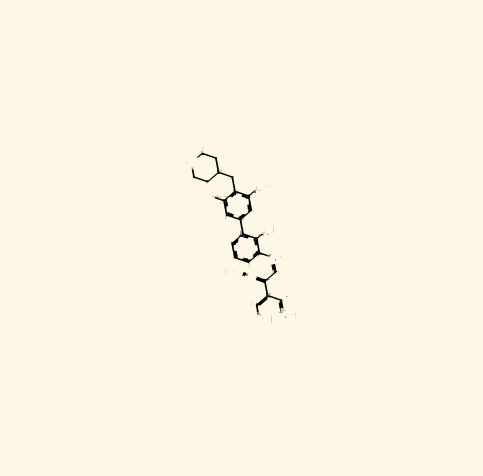 C=C=C(/C=N\c1cccc(-c2cc(C)c(CC3CCOCC3)c(F)c2)c1C)/C(C=N)=C/C